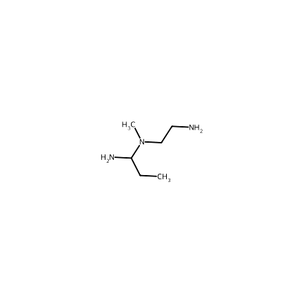 CCC(N)N(C)CCN